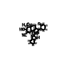 C[C@H]1C(O)C(C#N)=C[C@@]2(C)c3c(c(-c4ccccc4F)nn3-c3nc4ccccc4[nH]3)CC[C@H]12